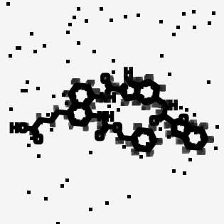 O=C(O)CCCc1ccc(NC(=O)OCc2ccccc2)c2c(NC(=O)c3cc4cc(NC(=O)c5cc6ccccc6o5)ccc4[nH]3)cccc12